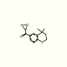 CC1(C)CCSc2ccc(C(=O)C3OO3)cc21